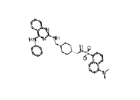 CN(C)c1cccc2c(S(=O)(=O)NC[C@H]3CC[C@H](CNc4nc(Nc5ccccc5)c5ccccc5n4)CC3)cccc12